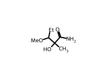 CCC(OC)C(C)(O)C(N)=O